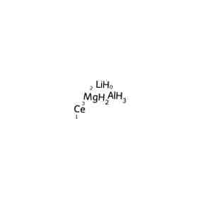 [AlH3].[Ce].[LiH].[MgH2]